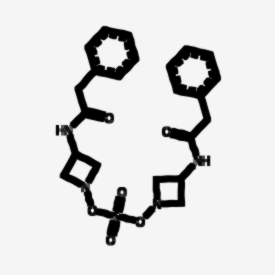 O=C(Cc1ccccc1)NC1CN(OS(=O)(=O)ON2CC(NC(=O)Cc3ccccc3)C2)C1